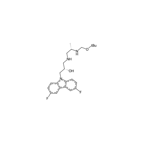 C[C@@H](CNC[C@H](O)Cn1c2ccc(F)cc2c2cc(F)ccc21)NCOC(C)(C)C